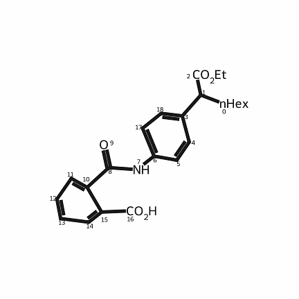 CCCCCCC(C(=O)OCC)c1ccc(NC(=O)c2ccccc2C(=O)O)cc1